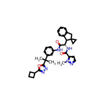 Cn1nccc1C(=O)N[C@H](C(=O)Nc1cccc(C(C)(C)c2nnc(C3CCC3)o2)c1)C1c2ccccc2CC12CC2